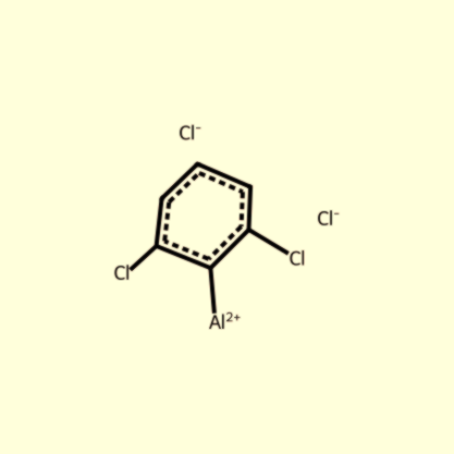 [Al+2][c]1c(Cl)cccc1Cl.[Cl-].[Cl-]